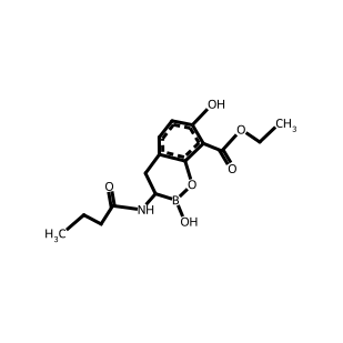 CCCC(=O)NC1Cc2ccc(O)c(C(=O)OCC)c2OB1O